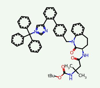 CC(C)(CC(=O)N[C@@H]1CCc2ccccc2N(Cc2ccc(-c3ccccc3-c3cn(C(c4ccccc4)(c4ccccc4)c4ccccc4)cn3)cc2)C1=O)NC(=O)OC(C)(C)C